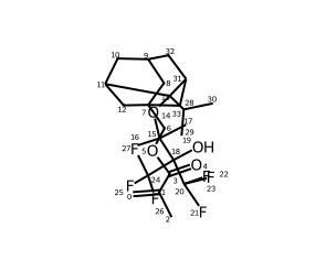 C=C(C)C(=O)OCC12CC3CC(C1)C(OC(C)(C)C(O)(C(F)(F)F)C(F)(F)F)(C(C)C)C(C3)C2